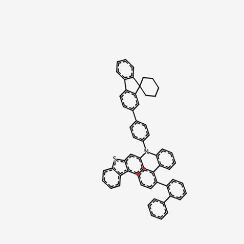 c1ccc(-c2ccccc2-c2ccccc2-c2ccccc2N(c2ccc(-c3ccc4c(c3)C3(CCCCC3)c3ccccc3-4)cc2)c2ccc3c(c2)sc2ccccc23)cc1